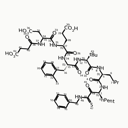 CCCCC[C@H](NC(=O)[C@H](CC(C)C)NC(=O)[C@@H](NC(=O)[C@H](Cc1ccccc1C)NC(=O)[C@H](CCC(=O)O)NC(=O)[C@H](CC(=O)O)NC(=O)CCC(=O)O)C(C)(C)C)C(=O)C(=S)NCc1ccccc1